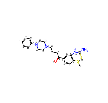 CSc1ccc(C(=O)CCCN2CCN(c3ccccc3)CC2)cc1NC(N)=S